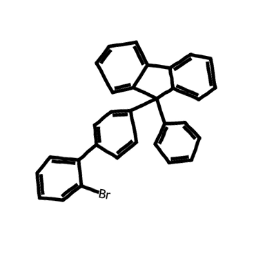 Brc1ccccc1-c1ccc(C2(c3ccccc3)c3ccccc3-c3ccccc32)cc1